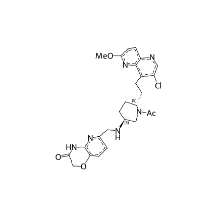 COc1ccc2ncc(Cl)c(CC[C@H]3CC[C@H](NCc4ccc5c(n4)NC(=O)CO5)CN3C(C)=O)c2n1